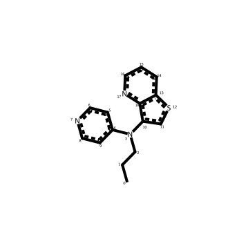 CCCN(c1ccncc1)c1csc2cccnc12